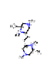 CC(C)N1C[C@H](CC[C@H]2CN(C(C)(C)C)C[C@H](C)N2C(C)(C)C)N(C(C)(C)C)[C@H](C)C1